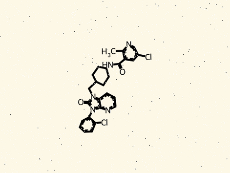 Cc1ncc(Cl)cc1C(=O)NC1CCC(Cn2c(=O)n(-c3ccccc3Cl)c3ncccc32)CC1